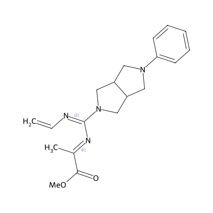 C=C/N=C(\N=C(/C)C(=O)OC)N1CC2CN(c3ccccc3)CC2C1